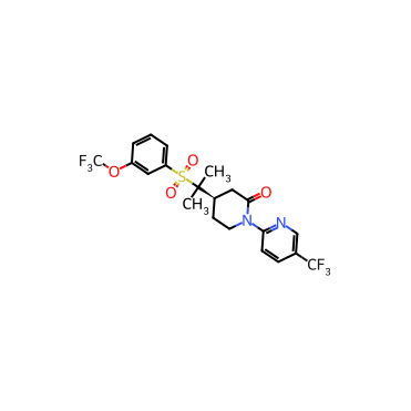 CC(C)([C@@H]1CCN(c2ccc(C(F)(F)F)cn2)C(=O)C1)S(=O)(=O)c1cccc(OC(F)(F)F)c1